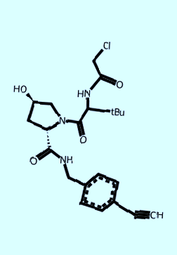 C#Cc1ccc(CNC(=O)[C@@H]2C[C@@H](O)CN2C(=O)C(NC(=O)CCl)C(C)(C)C)cc1